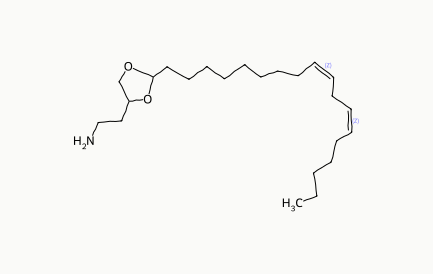 CCCCC/C=C\C/C=C\CCCCCCCCC1OCC(CCN)O1